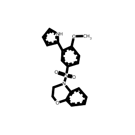 COc1ccc(S(=O)(=O)N2CCOc3ccccc32)cc1-c1ccc[nH]1